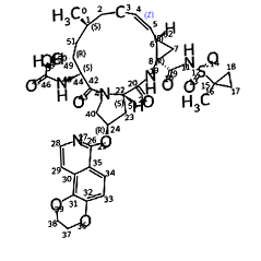 C[C@H]1CC/C=C\[C@@H]2C[C@@]2(C(=O)NS(=O)(=O)C2(C)CC2)NC(=O)[C@@H]2C[C@@H](Oc3nccc4c5c(ccc34)OCCO5)CN2C(=O)[C@@H](NC(=O)O)[C@H](C)C1